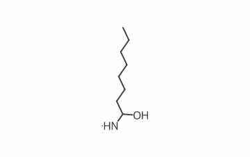 CCCCCCCC([NH])O